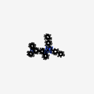 c1ccc(-c2ccc(-c3nc(-c4ccc(-c5ccccc5)cc4)nc(-n4c5ccccc5c5cc(-c6cc7c8ccccc8n8c9ccccc9c(c6)c78)ccc54)n3)cc2)cc1